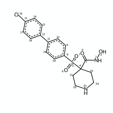 O=C(NO)C1(S(=O)(=O)c2ccc(-c3ccc(Cl)cc3)cc2)CCNCC1